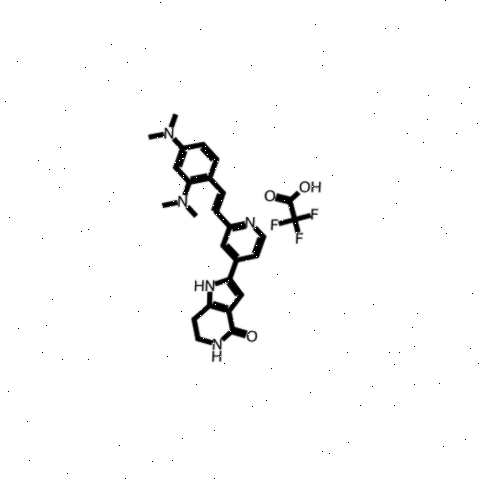 CN(C)c1ccc(C=Cc2cc(-c3cc4c([nH]3)CCNC4=O)ccn2)c(N(C)C)c1.O=C(O)C(F)(F)F